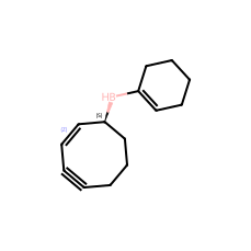 B(C1=CCCCC1)[C@@H]1/C=C\C#CCCC1